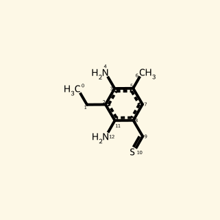 CCc1c(N)c(C)cc(C=S)c1N